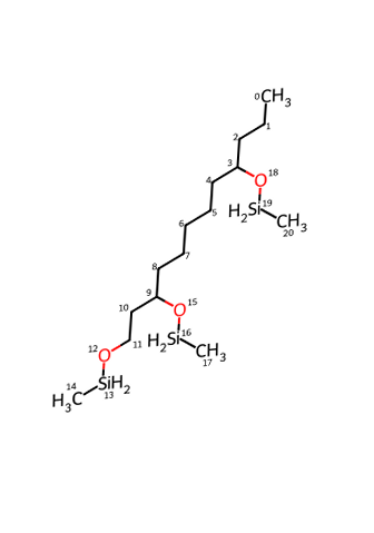 CCCC(CCCCCC(CCO[SiH2]C)O[SiH2]C)O[SiH2]C